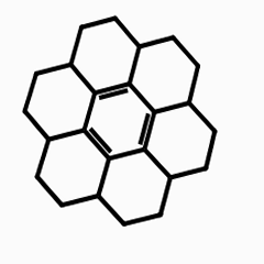 C1CC2CCC3CCC4CCC5CCC6CCC1c1c2c3c4c5c16